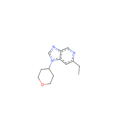 CCc1cc2c(cn1)ncn2C1CCOCC1